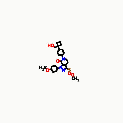 COOSc1nn(-c2ccc(OC)cc2)c2c1CCN(c1ccc(C3(CO)CCC3)cc1)C2=O